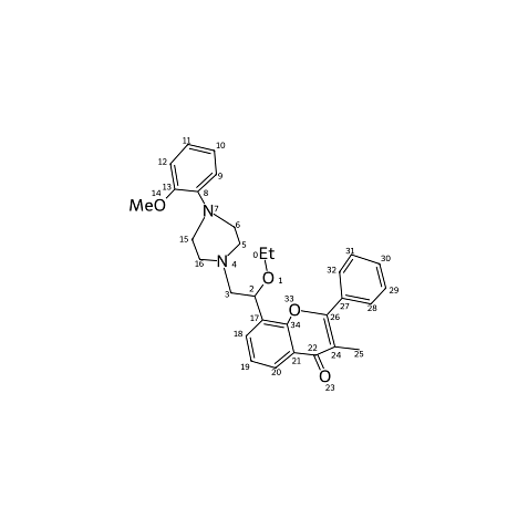 CCOC(CN1CCN(c2ccccc2OC)CC1)c1cccc2c(=O)c(C)c(-c3ccccc3)oc12